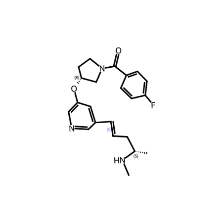 CN[C@@H](C)C/C=C/c1cncc(O[C@@H]2CCN(C(=O)c3ccc(F)cc3)C2)c1